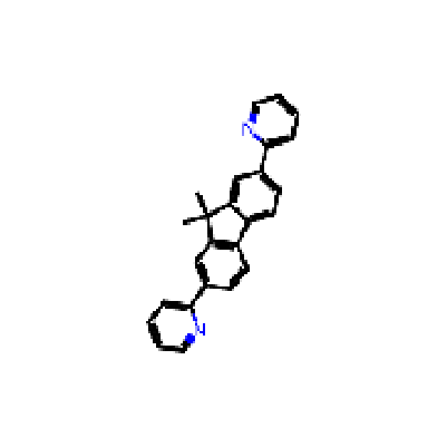 CC1(C)c2cc(-c3ccccn3)ccc2-c2ccc(-c3ccccn3)cc21